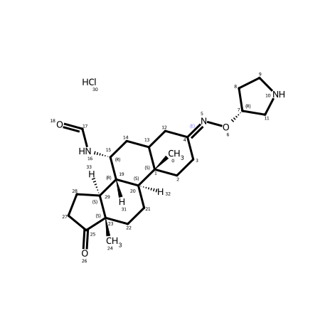 C[C@]12CC/C(=N\O[C@@H]3CCNC3)CC1C[C@@H](NC=O)[C@@H]1[C@@H]2CC[C@]2(C)C(=O)CC[C@@H]12.Cl